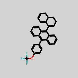 FC(F)(F)Oc1ccc(-c2c3ccccc3c(C3=CCCC4CC=CC=C34)c3ccccc23)cc1